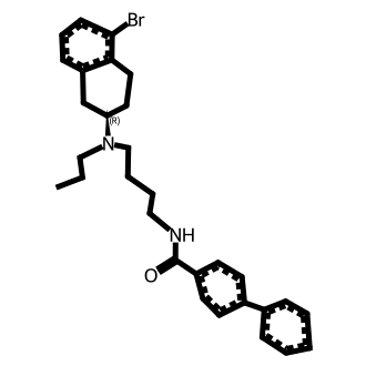 CCCN(CCCCNC(=O)c1ccc(-c2ccccc2)cc1)[C@@H]1CCc2c(Br)cccc2C1